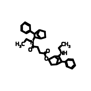 CCNC1C2CC(CC2OC(=O)CCC(=O)N(CC)C2C3CCC(C3)C2c2ccccc2)C1c1ccccc1